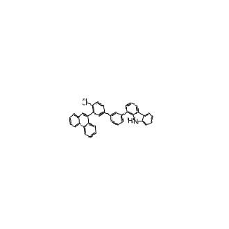 Clc1ccc(-c2cccc(-c3cccc4c3[nH]c3ccccc34)c2)cc1-c1cc2ccccc2c2ccccc12